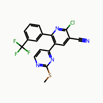 CSc1nccc(-c2cc(C#N)c(Cl)nc2-c2cccc(C(F)(F)F)c2)n1